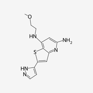 COCCNc1cc(N)nc2cc(-c3ccn[nH]3)sc12